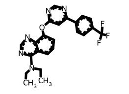 CCN(CC)c1ncnc2c(Oc3cc(-c4ccc(C(F)(F)F)cc4)ncn3)cccc12